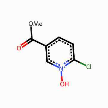 COC(=O)c1ccc(Cl)[n+](O)c1